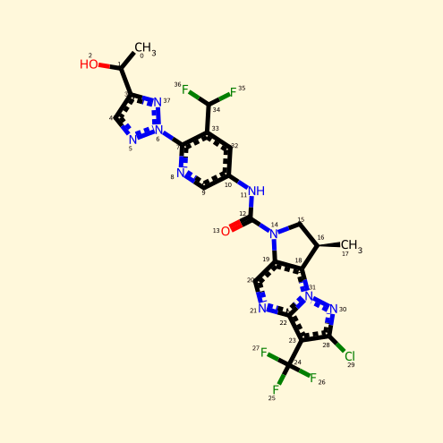 CC(O)c1cnn(-c2ncc(NC(=O)N3C[C@@H](C)c4c3cnc3c(C(F)(F)F)c(Cl)nn43)cc2C(F)F)n1